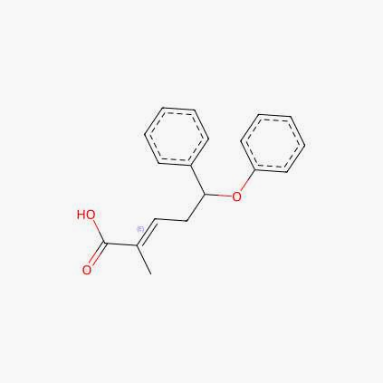 C/C(=C\CC(Oc1ccccc1)c1ccccc1)C(=O)O